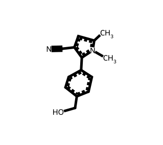 Cc1cc(C#N)c(-c2ccc(CO)cc2)n1C